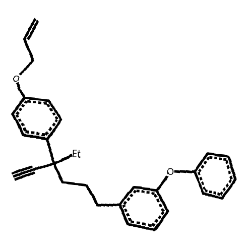 C#CC(CC)(CCCc1cccc(Oc2ccccc2)c1)c1ccc(OCC=C)cc1